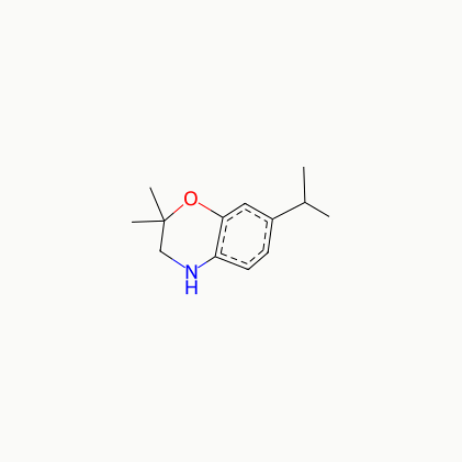 CC(C)c1ccc2c(c1)OC(C)(C)CN2